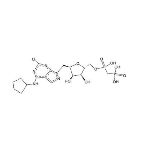 O=P(O)(O)CP(=O)(O)OC[C@H]1O[C@H](Cn2ncc3c(NC4CCCC4)nc(Cl)nc32)[C@H](O)[C@@H]1O